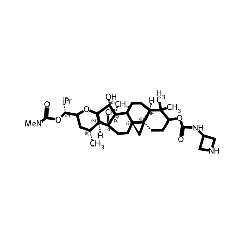 CNC(=O)O[C@H](C(C)C)C1C[C@@H](C)[C@H]2C(O1)[C@H](O)[C@@]1(C)C3CC[C@H]4C(C)(C)C(OC(=O)NC5CNC5)CC[C@@]45C[C@@]35CC[C@]21C